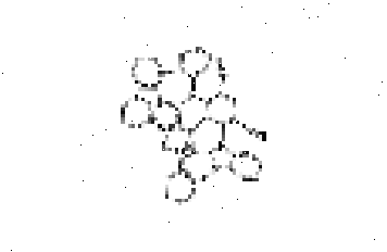 N#Cc1cc(C#N)c(-n2c3ccccc3c3ccccc32)c(-c2nc(-c3ccccc3)nc(-c3ccccc3)n2)c1N1c2ccccc2-c2ccccc2-c2ccccc21